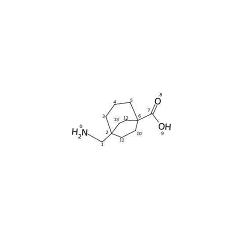 NCC12CCCC(C(=O)O)(CC1)CC2